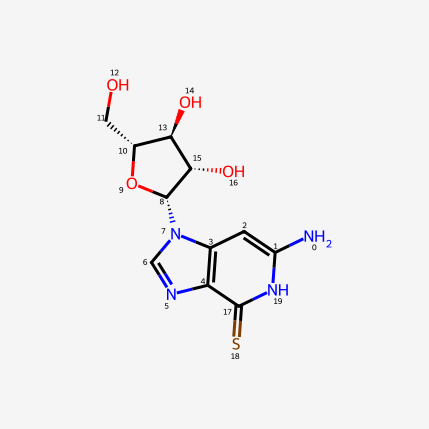 Nc1cc2c(ncn2[C@@H]2O[C@H](CO)[C@@H](O)[C@@H]2O)c(=S)[nH]1